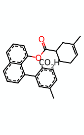 CC1=CCCC(C(=O)Oc2cccc3cccc(-c4cc(C)ccc4C(=O)O)c23)C1